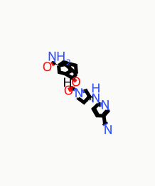 N#Cc1ccc(N[C@H]2CCN(C(=O)O[C@H]3C4CC5CC3C[C@](C(N)=O)(C5)C4)C2)nc1